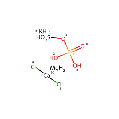 O=P(O)(O)OS(=O)(=O)O.[Cl][Ca][Cl].[KH].[MgH2]